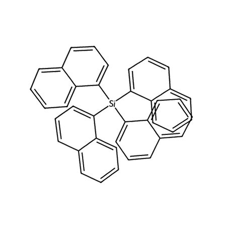 c1ccc2c([Si](c3cccc4ccccc34)(c3cccc4ccccc34)c3cccc4ccccc34)cccc2c1